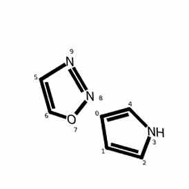 c1cc[nH]c1.c1conn1